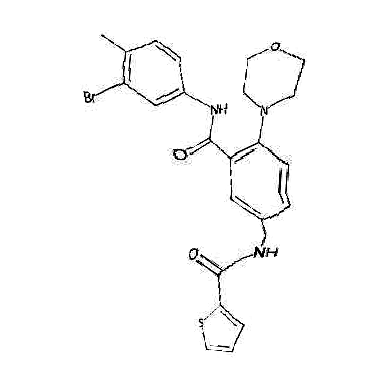 Cc1ccc(NC(=O)c2cc(NC(=O)c3cccs3)ccc2N2CCOCC2)cc1Br